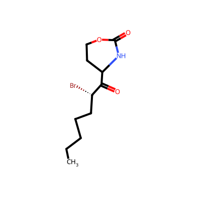 CCCCC[C@H](Br)C(=O)C1CCOC(=O)N1